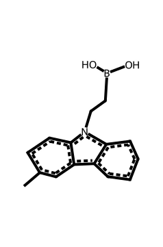 Cc1ccc2c(c1)c1ccccc1n2CCB(O)O